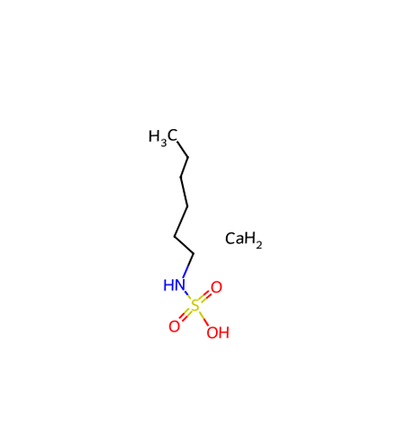 CCCCCCNS(=O)(=O)O.[CaH2]